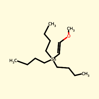 CCC[CH2][Sn]([CH]=COC)([CH2]CCC)[CH2]CCC